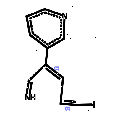 N=C/C(=C\C=C/I)c1cccnc1